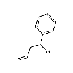 C=CCC(O)c1ccncc1